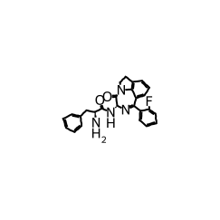 N[C@@H](Cc1ccccc1)C(=O)N[C@H]1N=C(c2ccccc2F)c2cccc3c2N(CC3)C1=O